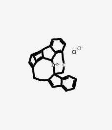 Cc1c2ccc3c1[CH]1[Zr+2][C]4(CCc5cccc-3c51)C(=Cc1ccccc14)CC2.[Cl-].[Cl-]